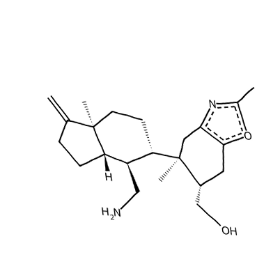 C=C1CC[C@H]2[C@H](CN)[C@@H]([C@@]3(C)Cc4nc(C)oc4C[C@@H]3CO)CC[C@]12C